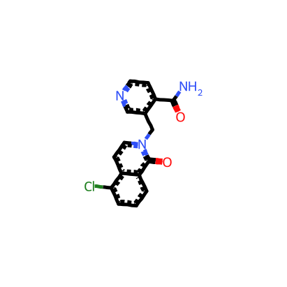 NC(=O)c1ccncc1Cn1ccc2c(Cl)cccc2c1=O